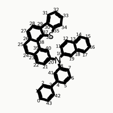 c1ccc(-c2cccc(N(c3ccc4ccccc4c3)c3ccc4ccc5ccc6c7ccccc7sc6c5c4c3)c2)cc1